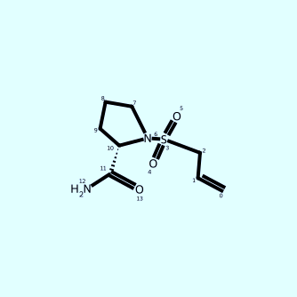 C=CCS(=O)(=O)N1CCC[C@H]1C(N)=O